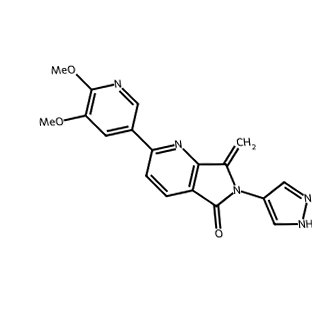 C=C1c2nc(-c3cnc(OC)c(OC)c3)ccc2C(=O)N1c1cn[nH]c1